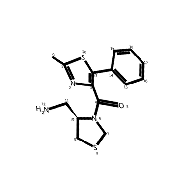 Cc1nc(C(=O)N2CSC[C@H]2CN)c(-c2ccccc2)s1